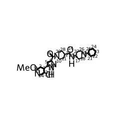 COc1cc(-c2cc(C(=O)N3CCC(C(=O)NC4CCN(c5ccccc5)CC4)CC3)n[nH]2)c(Cl)cn1